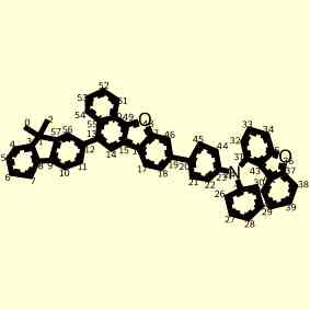 CC1(C)c2ccccc2-c2ccc(-c3cc4c5ccc(-c6ccc(N(c7ccccc7)c7cccc8oc9ccccc9c78)cc6)cc5oc4c4ccccc34)cc21